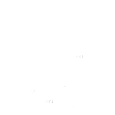 O=C1NC(=S)OC1=CC=Cc1c(O)ccc2ccccc12